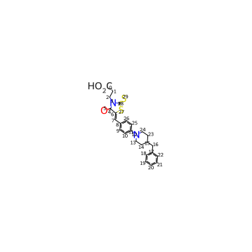 O=C(O)CCN1C(=O)C(=Cc2ccc(N3CCC(Cc4ccccc4)CC3)cc2)SC1=S